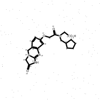 O=C(O)CN(CC1CCCC1)C(=O)COc1ccc2c(c1)N=C1NC(=O)CN1C2